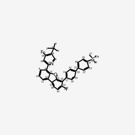 CC(C)(C)c1cnc(-c2cccc3c2oc2c(-c4ccc(-c5ccc(S(C)(C)C)cc5)cc4)c(F)ccc23)cc1F